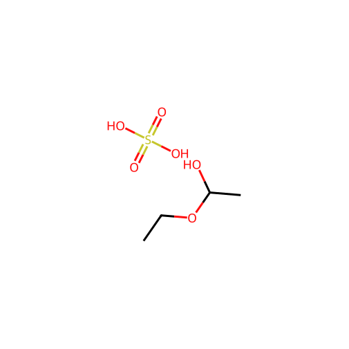 CCOC(C)O.O=S(=O)(O)O